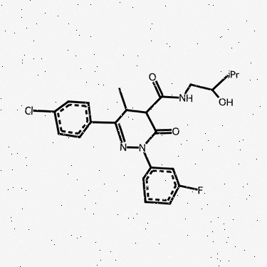 CC(C)C(O)CNC(=O)C1C(=O)N(c2cccc(F)c2)N=C(c2ccc(Cl)cc2)C1C